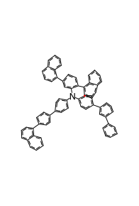 c1ccc(-c2cccc(-c3ccc(N(c4ccc(-c5ccc(-c6cccc7ccccc67)cc5)cc4)c4cc(-c5cccc6ccccc56)ccc4-c4cccc5ccccc45)cc3)c2)cc1